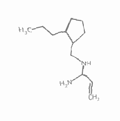 C=CC(N)NCC1CCCC1CCC